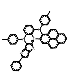 Cc1ccc(N2c3cccc4c3P(=O)(c3cc5ccc6cccc7ccc(c32)c5c67)c2sc3cc(-c5ccccc5)sc3c2N4c2ccc(C)cc2)cc1